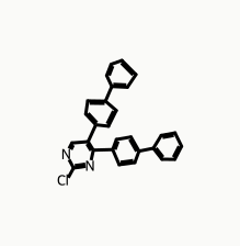 Clc1ncc(-c2ccc(-c3ccccc3)cc2)c(-c2ccc(-c3ccccc3)cc2)n1